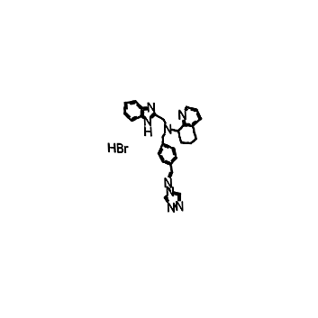 Br.C(=Nn1cnnc1)c1ccc(CN(Cc2nc3ccccc3[nH]2)C2CCCc3cccnc32)cc1